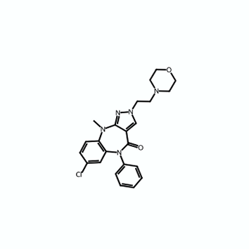 CN1c2ccc(Cl)cc2N(c2ccccc2)C(=O)c2cn(CCN3CCOCC3)nc21